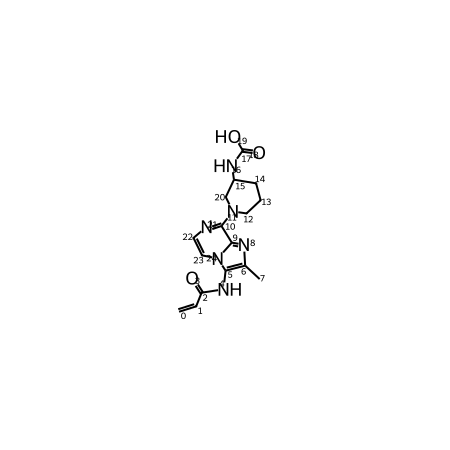 C=CC(=O)Nc1c(C)nc2c(N3CCCC(NC(=O)O)C3)nccn12